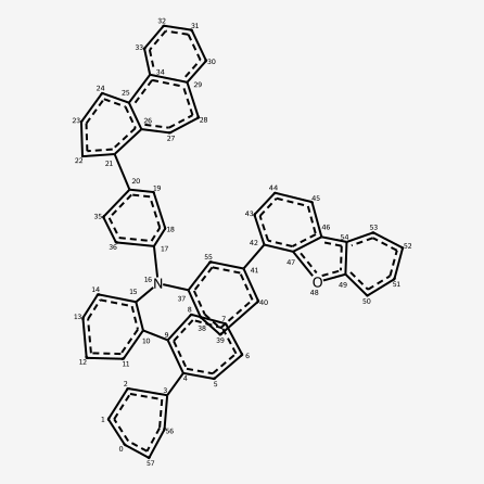 c1ccc(-c2ccccc2-c2ccccc2N(c2ccc(-c3cccc4c3ccc3ccccc34)cc2)c2cccc(-c3cccc4c3oc3ccccc34)c2)cc1